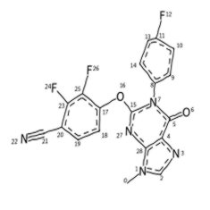 Cn1cnc2c(=O)n(-c3ccc(F)cc3)c(Oc3ccc(C#N)c(F)c3F)nc21